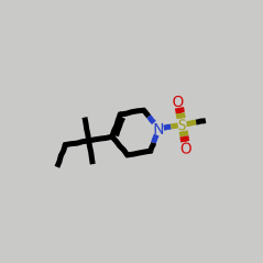 CCC(C)(C)C1=CCN(S(C)(=O)=O)CC1